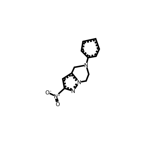 O=[N+]([O-])c1cc2n(n1)CCN(c1ccccc1)C2